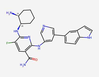 NC(=O)c1cc(F)c(N[C@@H]2CCCC[C@@H]2N)nc1Nc1cncc(-c2ccc3[nH]ccc3c2)c1